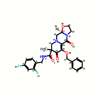 CC1(C(=O)NCc2ccc(F)cc2F)CN2C[C@H]3OCCN3C(=O)C2=C(OCc2ccccc2)C1=O